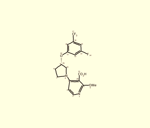 COc1nccc(N2CC[C@H](Oc3cc(F)cc(C(F)(F)F)c3)C2)c1C(=O)O